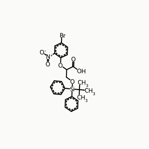 CC(C)(C)[Si](OCC(Oc1ccc(Br)cc1[N+](=O)[O-])C(=O)O)(c1ccccc1)c1ccccc1